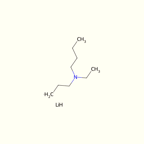 [CH2]CCN(CC)CCCC.[LiH]